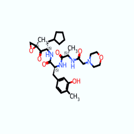 Cc1ccc(C[C@H](NC(=O)[C@H](C)NC(=O)CN2CCOCC2)C(=O)N[C@@H](CC2CCCC2)C(=O)[C@]2(C)CO2)cc1O